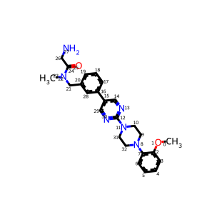 COc1ccccc1N1CCN(c2ncc(-c3cccc(CN(C)C(=O)CN)c3)cn2)CC1